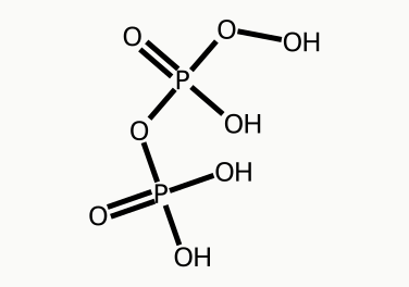 O=P(O)(O)OP(=O)(O)OO